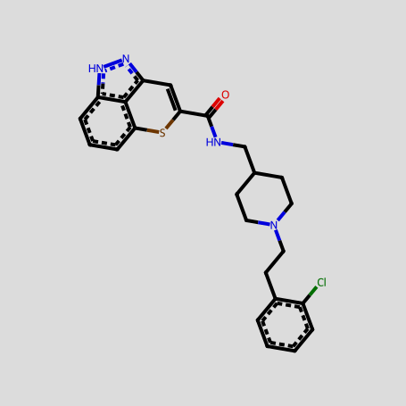 O=C(NCC1CCN(CCc2ccccc2Cl)CC1)C1=Cc2n[nH]c3cccc(c23)S1